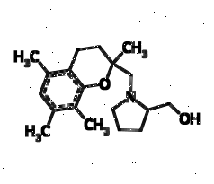 Cc1cc(C)c2c(c1C)OC(C)(CN1CCCC1CO)CC2